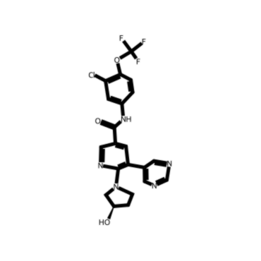 O=C(Nc1ccc(OC(F)(F)F)c(Cl)c1)c1cnc(N2CC[C@@H](O)C2)c(-c2cncnc2)c1